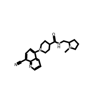 CN1CCCC1CNC(=O)C1CCN(c2ccc(C#N)c3ncccc23)CC1